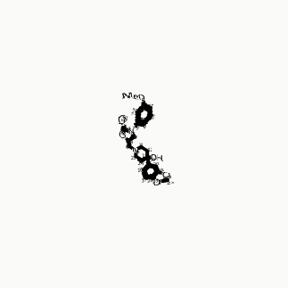 COc1cccc(N2CC(CN3CCC(O)(c4ccc5c(c4)OCO5)CC3)OC2=O)c1